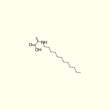 C=C(NCCCCCCCCCCCC)C(=O)O